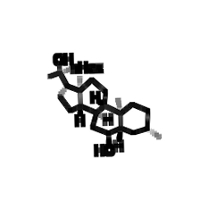 CCCCCC[C@](C)(O)[C@H]1CC[C@H]2[C@@H]3C[C@H](O)[C@H]4C[C@@H](C)CC[C@]4(C)[C@H]3CC[C@@]21C